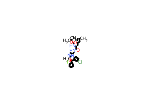 CCCCC[C@H](NC(=O)OC(C)(C)C)C(=O)NCc1cnc(C)n1-c1ccc(Cl)cc1C(=O)c1ccccc1F